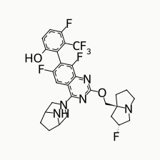 Oc1ccc(F)c(C(F)(F)F)c1-c1c(F)cc2c(N3CC4CCC(C3)N4)nc(OC[C@@]34CCCN3C[C@H](F)C4)nc2c1F